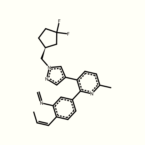 C=Nc1cc(-c2nc(C)ccc2-c2cnn(C[C@H]3CCC(F)(F)C3)c2)ccc1/C=C\C